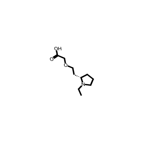 CCN1CCC[C@H]1CCOCC(=O)O